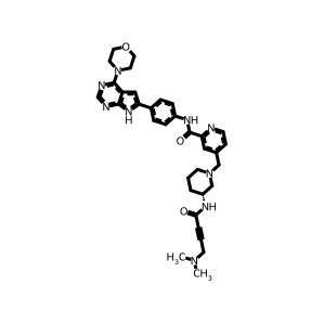 CN(C)CC#CC(=O)N[C@@H]1CCCN(Cc2ccnc(C(=O)Nc3ccc(-c4cc5c(N6CCOCC6)ncnc5[nH]4)cc3)c2)C1